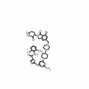 Cc1nc(Nc2ncc(C(=O)Nc3c(C)cccc3Cl)s2)cc(N2CCC(N3CCN(Cc4cc(Br)c5c(c4)CN(C4CCC(=O)NC4=O)C5=O)CC3)CC2)n1